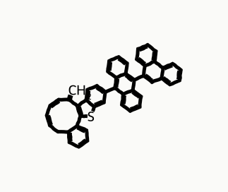 C=C1/C=C\C=C/Cc2ccccc2-c2sc3cc(-c4c5ccccc5c(-c5cc6ccccc6c6ccccc56)c5ccccc45)ccc3c21